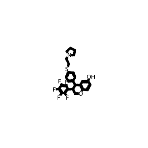 Oc1ccc2c(c1)C(c1ccc(SCCN3CCCC3)cc1)C(c1c(F)c(F)c(F)c(F)c1F)CO2